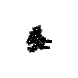 CCC(C)(C)c1ccc(N(c2ccc(C(C)(C)C)c(C)c2)c2cc3c4c(c2)N2c5c(cc(C(C)(C)C)cc5C5(C)CCCCC25C)B4c2c(sc4cc5c(cc24)C(C)(C)CCC5(C)C)N3c2ccc(C(C)(C)C)cc2)cc1